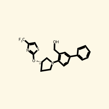 OCc1cc(-c2ccccc2)ccc1N1CC[C@H](Oc2nc(C(F)(F)F)cs2)C1